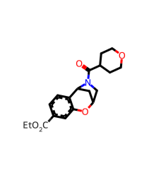 CCOC(=O)c1ccc2c(c1)OC1CC2N(C(=O)C2CCOCC2)C1